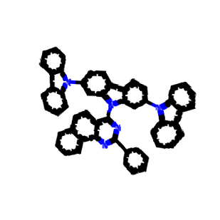 c1ccc(-c2nc(-n3c4cc(-n5c6ccccc6c6ccccc65)ccc4c4ccc(-n5c6ccccc6c6ccccc65)cc43)c3ccc4ccccc4c3n2)cc1